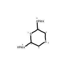 CCCCCCC1CSCC(CCCCCC)S1